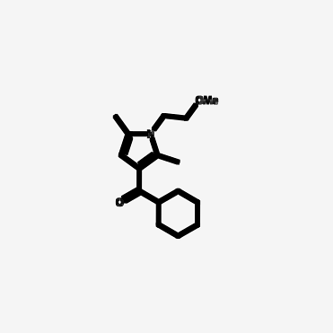 COCCn1c(C)cc(C(=O)C2CCCCC2)c1C